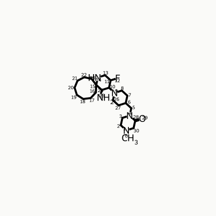 CN1CCN(CC2CCN(C3C(F)CNC4(CCCCCCCC4)C3N)CC2)C(=O)C1